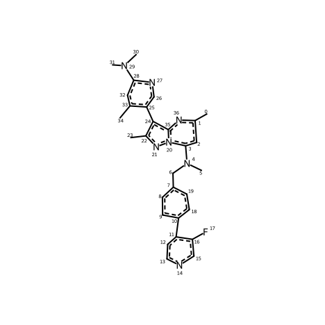 Cc1cc(N(C)Cc2ccc(-c3ccncc3F)cc2)n2nc(C)c(-c3cnc(N(C)C)cc3C)c2n1